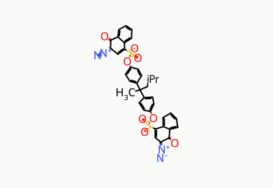 CC(C)CC(C)(c1ccc(OS(=O)(=O)C2=CC(=[N+]=[N-])C(=O)c3ccccc32)cc1)c1ccc(OS(=O)(=O)C2=CC(=[N+]=[N-])C(=O)c3ccccc32)cc1